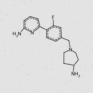 Nc1cccc(-c2ccc(CN3CCC(N)CC3)cc2F)n1